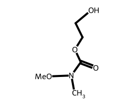 CON(C)C(=O)OCCO